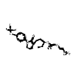 CCCNC(=O)O[C@H]1CC[C@@]2(CCN(c3ccc(OC(F)(F)F)cc3)C2=O)CC1